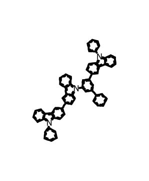 c1ccc(-c2cc(-c3ccc4c(c3)c3ccccc3n4-c3ccccc3)cc(-n3c4ccccc4c4cc(-c5ccc6c(c5)c5ccccc5n6-c5ccccc5)ccc43)c2)cc1